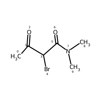 CC(=O)C(Br)C(=O)N(C)C